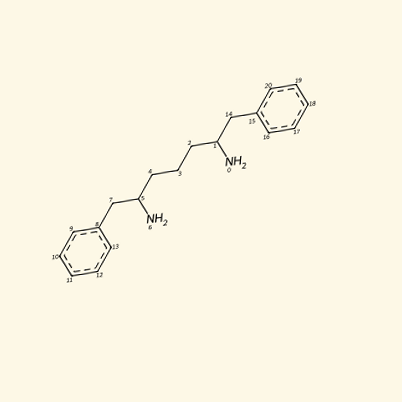 NC(CCCC(N)Cc1ccccc1)Cc1ccccc1